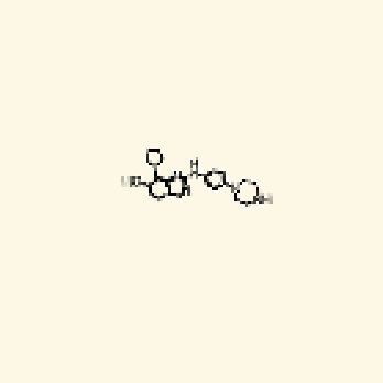 Oc1ccc2cnc(Nc3ccc(N4CCCNCC4)cc3)nc2c1C1CCCC1